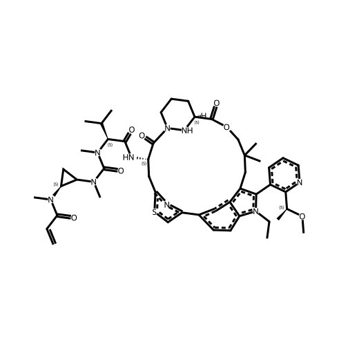 C=CC(=O)N(C)[C@H]1CC1N(C)C(=O)N(C)[C@H](C(=O)N[C@H]1Cc2nc(cs2)-c2ccc3c(c2)c(c(-c2cccnc2[C@H](C)OC)n3CC)CC(C)(C)COC(=O)[C@@H]2CCCN(N2)C1=O)C(C)C